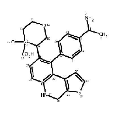 CC(N)c1ccc(-c2c(C3COCC[N+]3([O-])C(=O)O)ccc3c2-c2ccsc2CN3)cc1